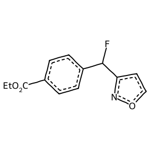 CCOC(=O)c1ccc(C(F)c2ccon2)cc1